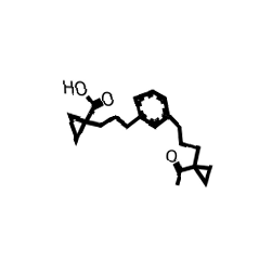 CC(=O)C1(CCCc2cccc(CCCC3(C(=O)O)CC3)c2)CC1